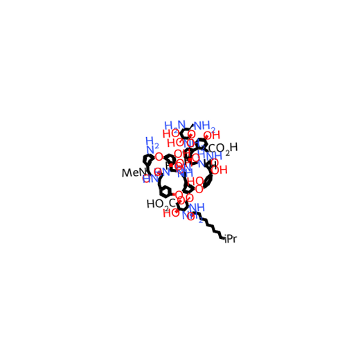 CN[C@H]1C(=O)NC2Cc3ccc(cc3)Oc3cc4cc(c3O[C@@H]3O[C@H](C(=O)O)C(O)[C@H](N)C3NC(=O)CCCCCCCCC(C)C)Oc3ccc(cc3O)[C@@H](O)[C@@H]3NC(=O)[C@H](NC(=O)C4NC(=O)[C@H](NC2=O)c2cc(cc(O)c2O)Oc2cc1ccc2N)c1ccc(N)c(c1)-c1c(OC2O[C@H](CN)C(N)[C@H](O)[C@@H]2O)cc(O)cc1C(C(=O)O)NC3=O